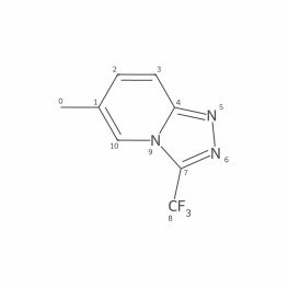 Cc1ccc2nnc(C(F)(F)F)n2c1